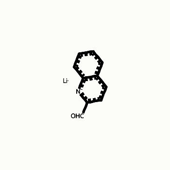 O=Cc1ccc2ccccc2n1.[Li]